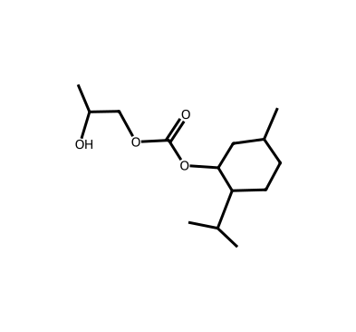 CC(O)COC(=O)OC1CC(C)CCC1C(C)C